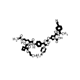 C=CCOC(=O)C1(C(=O)NC(CCCNC(N)=O)C(=O)Nc2ccc(C(OC(=O)OC3CC(C(=O)N[C@@H](C)c4ccc(C#N)cc4)N(C(=O)O)C3)C(=O)N3CCN(C)CC3)cc2)CCC1